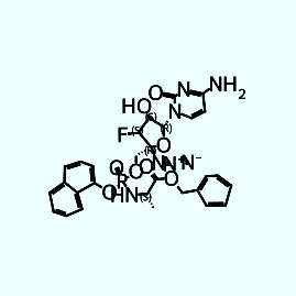 C[C@H](NP(=O)(OC[C@@]1(N=[N+]=[N-])O[C@@H](n2ccc(N)nc2=O)[C@H](O)[C@@H]1F)Oc1cccc2ccccc12)C(=O)OCc1ccccc1